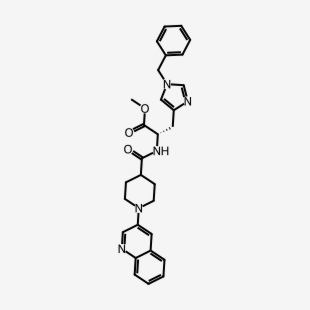 COC(=O)[C@H](Cc1cn(Cc2ccccc2)cn1)NC(=O)C1CCN(c2cnc3ccccc3c2)CC1